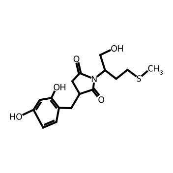 CSCCC(CO)N1C(=O)CC(Cc2ccc(O)cc2O)C1=O